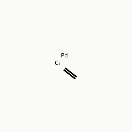 C=C.[C].[Pd]